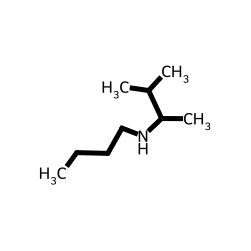 CCCCNC(C)C(C)C